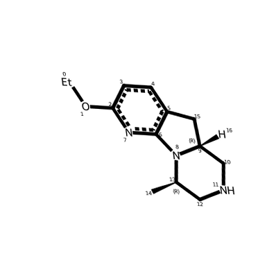 CCOc1ccc2c(n1)N1[C@@H](CNC[C@H]1C)C2